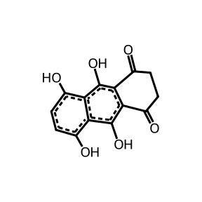 O=C1CCC(=O)c2c1c(O)c1c(O)ccc(O)c1c2O